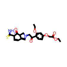 CCOC(=O)COc1ccc(C(=O)CN2C=C3C=CC(C(N)=S)C(=O)C3C2)c(OCC)c1